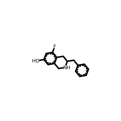 Oc1cc(F)c2c(c1)CNC(Cc1ccccc1)C2